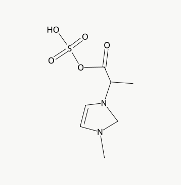 CC(C(=O)OS(=O)(=O)O)N1C=CN(C)C1